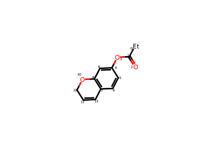 CCC(=O)Oc1ccc2c(c1)OCC=C2